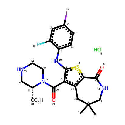 CC1(C)CNC(=O)c2sc(Nc3ccc(I)cc3F)c(C(=O)N3CCNC[C@H]3C(=O)O)c2C1.Cl